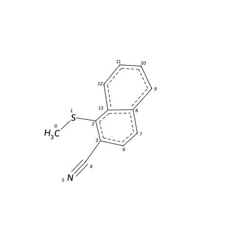 CSc1c(C#N)ccc2ccccc12